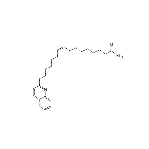 NC(=O)CCCCCCC/C=C\CCCCCCc1ccc2ccccc2n1